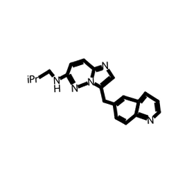 CC(C)CNc1ccc2ncc(Cc3ccc4ncccc4c3)n2n1